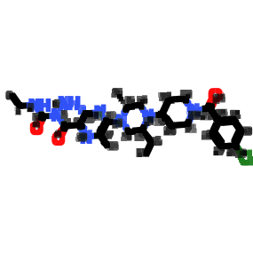 CCNC(=O)N(N)C(=O)c1cnc(N2C[C@H](CC)N(C3CCN(C(=O)c4ccc(Cl)cc4)CC3)C[C@H]2C)c(C)n1